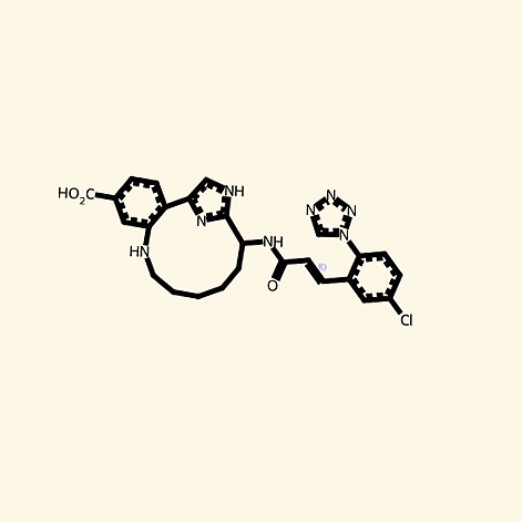 O=C(/C=C/c1cc(Cl)ccc1-n1cnnn1)NC1CCCCCNc2cc(C(=O)O)ccc2-c2c[nH]c1n2